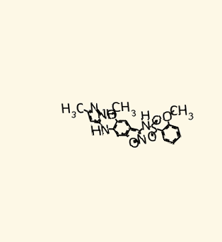 COc1cc2c(NS(=O)(=O)c3ccccc3OC)noc2cc1Nc1cc(C)n[nH]1